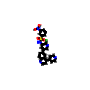 O=[N+]([O-])c1cccc(S(=O)(=O)Nc2cc(-c3ccc4nccc(-c5ccncc5)c4c3)cnc2Cl)c1